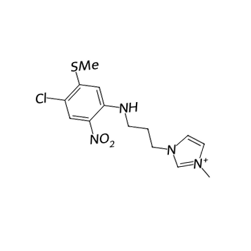 CSc1cc(NCCCn2cc[n+](C)c2)c([N+](=O)[O-])cc1Cl